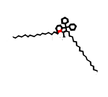 CCCCCCCCCCCCCCCCCC/C(C(N)=O)=C(/CCCCCCCCCCCCCCCCCC)C(c1ccccc1)(c1ccccc1)c1ccccc1